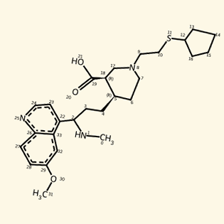 CNC(CC[C@@H]1CCN(CCSC2CCCC2)C[C@@H]1C(=O)O)c1ccnc2ccc(OC)cc12